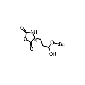 CC(C)(C)OC(O)CC[C@@H]1NC(=O)OC1=O